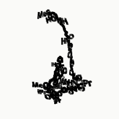 CC[C@H](C)[C@@H]([C@@H](CC(=O)N1CCC[C@H]1[C@H](OC)[C@@H](C)C(=O)N[C@H](C)[C@@H](O)c1ccccc1)OC)N(C)C(=O)[C@@H](NC(=O)[C@H](C(C)C)N(C)C(=O)OCc1ccc(NC(=O)[C@H](C)NC(=O)[C@@H](NC(=O)CCOCCOCCOCCOCCNC(=O)CCCCCNC(O)/C=C\C(=O)OC)C(C)C)cc1)C(C)C